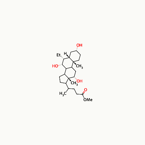 CC[C@H]1[C@@H](O)C2C3CCC(C(C)CCC(=O)OC)[C@@]3(C)[C@@H](O)CC2[C@@]2(C)CC[C@@H](O)C[C@@H]12